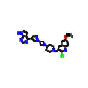 COc1ccc2nc(Cl)c(CN3CCC(N4CC(n5cc(-c6ncnc7[nH]ccc67)cn5)C4)CC3)cc2c1